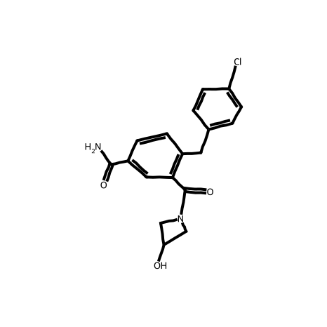 NC(=O)c1ccc(Cc2ccc(Cl)cc2)c(C(=O)N2CC(O)C2)c1